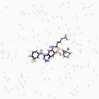 CN(C)CC=CC(=O)Nc1cc2c(Nc3ccc(F)c(Cl)c3)ncnc2cc1OC[C@@]12COC[C@@H]1C2